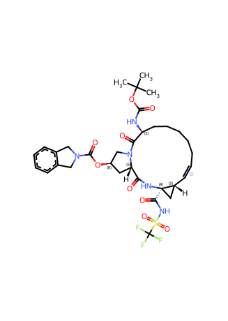 CC(C)(C)OC(=O)N[C@H]1CCCCC/C=C\[C@@H]2C[C@@]2(C(=O)NS(=O)(=O)C(F)(F)F)NC(=O)[C@@H]2C[C@@H](OC(=O)N3Cc4ccccc4C3)CN2C1=O